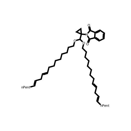 CCCCCC=CCC=CCCCCCCCCOC(OCCCCCCCCC=CCC=CCCCCC)C1(N2C(=O)c3ccccc3C2=O)CC1